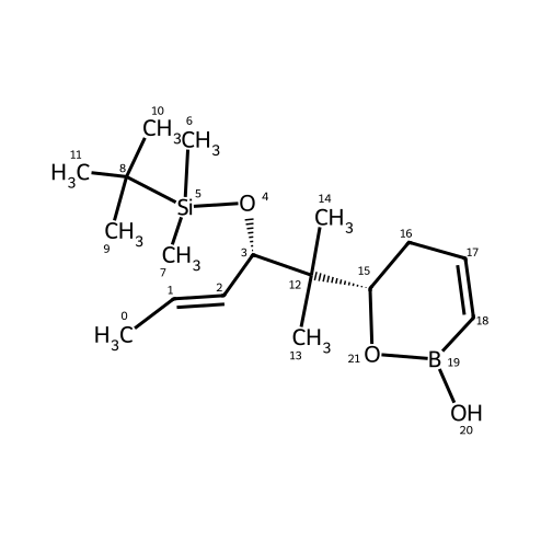 C/C=C/[C@H](O[Si](C)(C)C(C)(C)C)C(C)(C)[C@@H]1CC=CB(O)O1